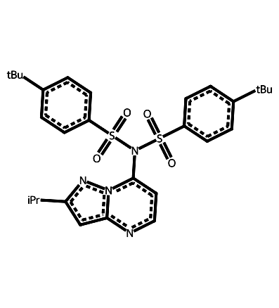 CC(C)c1cc2nccc(N(S(=O)(=O)c3ccc(C(C)(C)C)cc3)S(=O)(=O)c3ccc(C(C)(C)C)cc3)n2n1